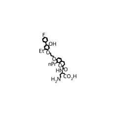 CCCc1c(OCCCOc2cc(O)c(-c3ccc(F)cc3)cc2CC)ccc2c1OC(C(=O)NC(CCN)CC(=O)O)CC2